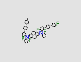 Cc1ccc(-c2ccc(-c3ccc(F)c(N(c4cc5ccc6cc(N(c7ccccc7F)c7cc(-c8ccc(-c9ccc(F)cc9)cc8)ccc7F)cc7ccc(c4)c5c67)c4ccccc4F)c3)cc2)cc1